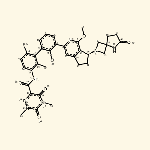 COc1nc(-c2cccc(-c3c(F)ccc(NC(=O)c4nn(C)c(=O)n(C)c4=O)c3C)c2Cl)cc2c1[C@@H](N1CC3(CCC(=O)N3)C1)CC2